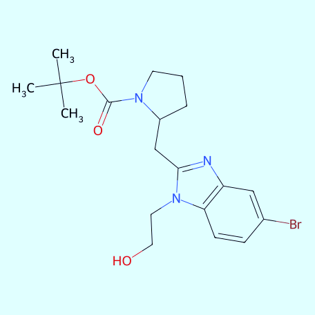 CC(C)(C)OC(=O)N1CCCC1Cc1nc2cc(Br)ccc2n1CCO